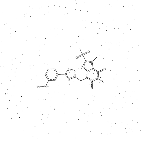 CCNc1cccc(-c2ccc(Cn3c(=O)n(C)c(=O)c4c3nc(S(C)(=O)=O)n4C)s2)c1